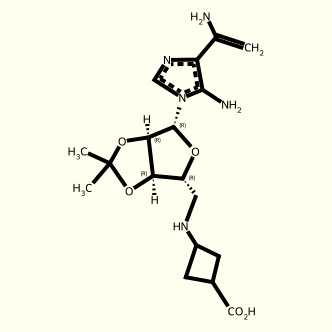 C=C(N)c1ncn([C@@H]2O[C@H](CNC3CC(C(=O)O)C3)[C@H]3OC(C)(C)O[C@H]32)c1N